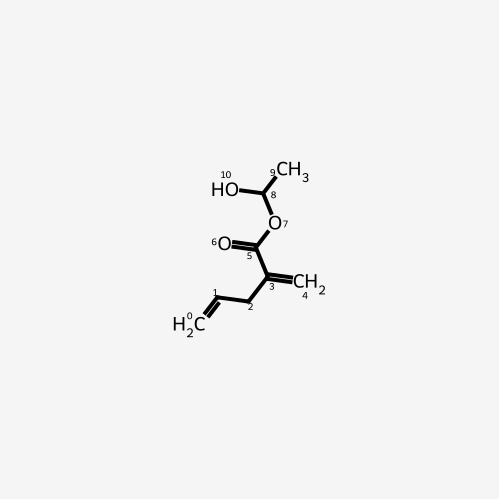 C=CCC(=C)C(=O)OC(C)O